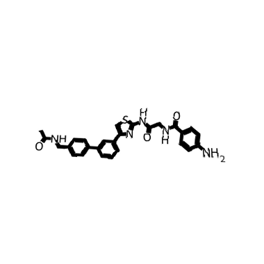 CC(=O)NCc1ccc(-c2cccc(-c3csc(NC(=O)CNC(=O)c4ccc(N)cc4)n3)c2)cc1